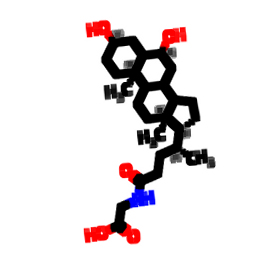 C[C@H](CCC(=O)NCC(=O)O)[C@H]1CCC2C3C[C@H](O)C4C[C@H](O)CC[C@]4(C)C3CC[C@@]21C